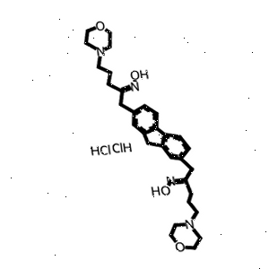 Cl.Cl.ON=C(CCCN1CCOCC1)Cc1ccc2c(c1)Cc1cc(CC(CCCN3CCOCC3)=NO)ccc1-2